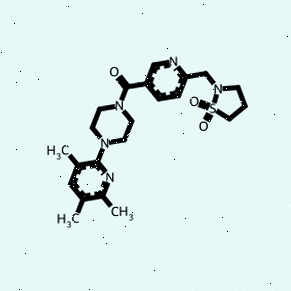 Cc1cc(C)c(N2CCN(C(=O)c3ccc(CN4CCCS4(=O)=O)nc3)CC2)nc1C